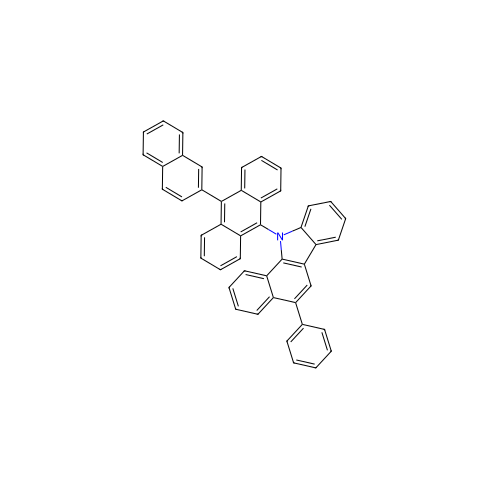 c1ccc(-c2cc3c4ccccc4n(-c4c5ccccc5c(-c5ccc6ccccc6c5)c5ccccc45)c3c3ccccc23)cc1